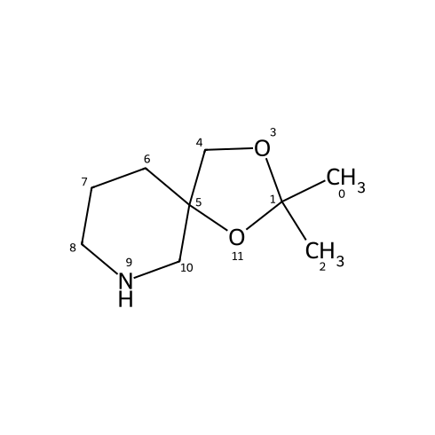 CC1(C)OCC2(CCCNC2)O1